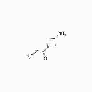 C=CC(=O)N1CC(N)C1